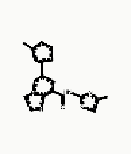 Cc1cccc(-c2cc(C(=O)Nc3nc(C)cs3)c3nccn3c2)c1